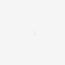 [Br+].[O-][I+2]([O-])[O-]